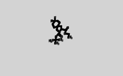 CCOC(=O)C1CC2(CCC(F)(F)CC2)CN1C(=O)OC(C)(C)C